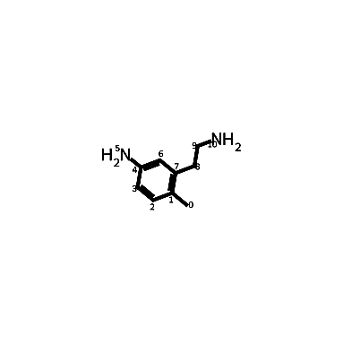 Cc1ccc(N)cc1CCN